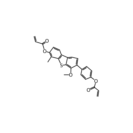 C=CC(=O)Oc1ccc(-c2ccc3c(sc4c(C)c(OC(=O)C=C)ccc43)c2OC)cc1